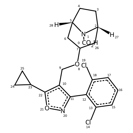 O=C(O)N1[C@@H]2CC[C@H]1CC(OCc1c(-c3c(Cl)cccc3Cl)noc1C1CC1)C2